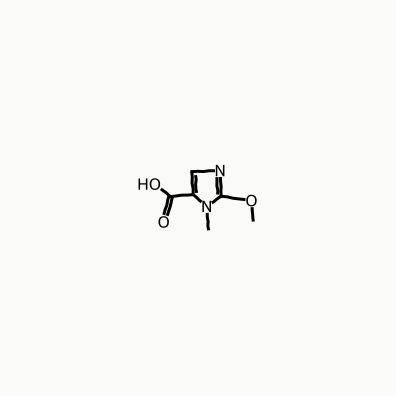 COc1ncc(C(=O)O)n1C